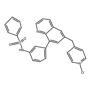 O=S(=O)(Nc1cccc(-c2cc(Cc3cc[n+]([O-])cc3)cc3cccnc23)c1)c1ccccc1